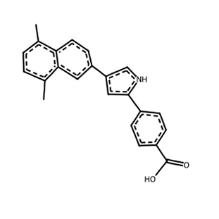 Cc1ccc(C)c2cc(-c3c[nH]c(-c4ccc(C(=O)O)cc4)c3)ccc12